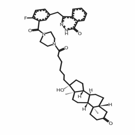 C[C@@]12CCC(=O)C[C@H]1CC[C@H]1[C@H]2CC[C@]2(C)[C@@H]1CC[C@]2(O)CCCCCC(=O)N1CCN(C(=O)c2cc(Cc3n[nH]c(=O)c4ccccc34)ccc2F)CC1